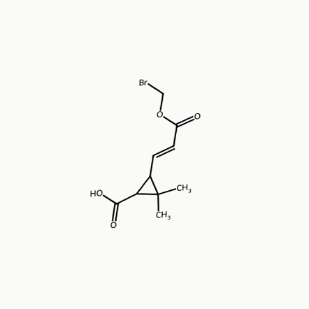 CC1(C)C(C=CC(=O)OCBr)C1C(=O)O